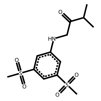 CC(C)C(=O)CNc1cc(S(C)(=O)=O)cc(S(C)(=O)=O)c1